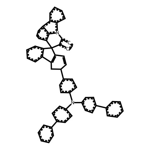 C1=CC(c2ccc(N(c3ccc(-c4ccccc4)cc3)c3ccc(-c4ccccc4)cc3)cc2)CC2=C1C1(c3ccccc32)c2ccccc2-n2c3ccccc3c3cccc1c32